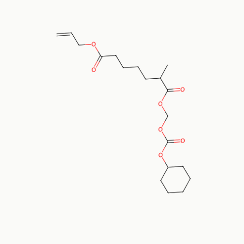 C=CCOC(=O)CCCCC(C)C(=O)OCOC(=O)OC1CCCCC1